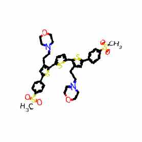 CS(=O)(=O)c1ccc(-c2cc(CCN3CCOCC3)c(-c3ccc(-c4sc(-c5ccc(S(C)(=O)=O)cc5)cc4CCN4CCOCC4)s3)s2)cc1